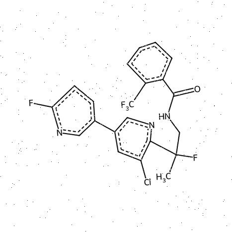 CC(F)(CNC(=O)c1ccccc1C(F)(F)F)c1ncc(-c2ccc(F)nc2)cc1Cl